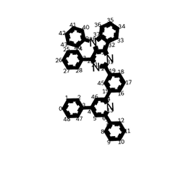 c1ccc(-c2cc(-c3ccccc3)nc(-c3cccc(-c4nc(-c5ccccc5)c5c(n4)c4ccccc4n5-c4ccccc4)c3)c2)cc1